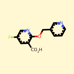 O=C(O)c1cc(F)cnc1OCc1cccnc1